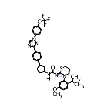 COc1ccc(C(C)C)c(N2CCCS/C2=N\C(=O)NC2CCC(c3ccc(-c4ncn(-c5ccc(OC(F)(F)F)cc5)n4)cc3)C2)c1